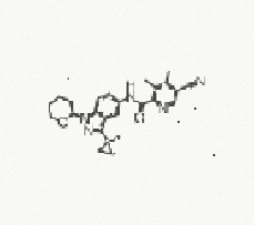 Cc1c(C#N)cnc(C(=O)Nc2ccc3c(c2)c(C2(C)CC2)nn3C2CCCCO2)c1C